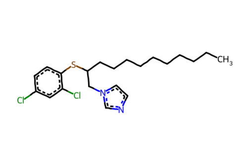 CCCCCCCCCCC(Cn1ccnc1)Sc1ccc(Cl)cc1Cl